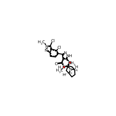 Cn1nc2ccc(-c3n[nH]c4nc(N5[C@@H]6CC[C@H]5C[C@@](C)(N)C6)n(C)c(=O)c34)c(Cl)c2c1Cl